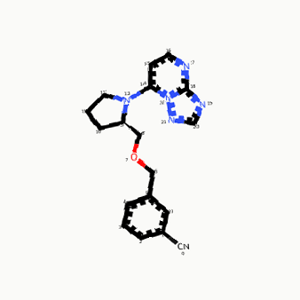 N#Cc1cccc(COC[C@H]2CCCN2c2ccnc3ncnn23)c1